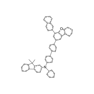 CC1(C)c2ccccc2-c2ccc(N(c3ccccc3)c3ccc(-c4ccc(-c5cc(-c6ccc7ccccc7c6)c6oc7ccccc7c6c5)cc4)cc3)cc21